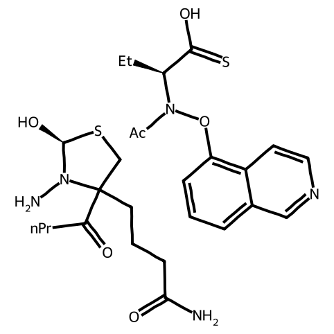 CCCC(=O)C1(CCCC(N)=O)CS[C@H](O)N1N.CC[C@@H](C(O)=S)N(Oc1cccc2cnccc12)C(C)=O